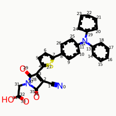 N#CC1=C(c2ccc(-c3ccc(N(c4ccccc4)c4ccccc4)cc3)s2)C(=O)N(CC(=O)O)C1=O